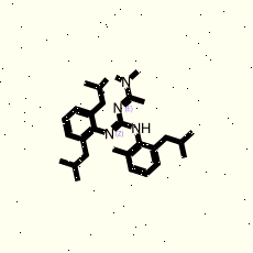 C/C(=N\C(=N/c1c(CC(C)C)cccc1CC(C)C)Nc1c(C)cccc1CC(C)C)N(C)C